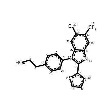 OCCc1ccc(-n2c(-c3nccs3)nc3cc(C(F)(F)F)c(Cl)cc32)cc1